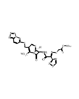 CC(C)(C)OC(=O)CON=C(C(=O)NC1C(=O)N2C(C(=O)O)=C(CSc3ccc4nnnn4n3)CS[C@@H]12)c1ncsn1